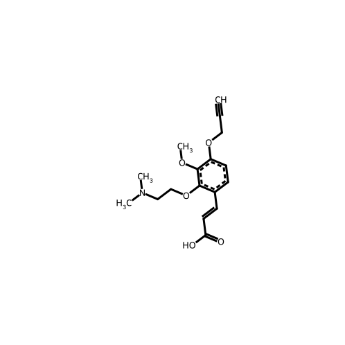 C#CCOc1ccc(/C=C/C(=O)O)c(OCCN(C)C)c1OC